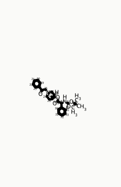 CC(C)(C)OC(=O)NC(C(=O)O[C@H]1C[N+]2(CC(=O)c3ccccc3)CCC1CC2)c1ccccc1F